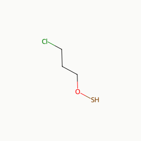 SOCCCCl